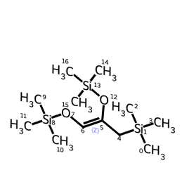 C[Si](C)(C)C/C(=C/O[Si](C)(C)C)O[Si](C)(C)C